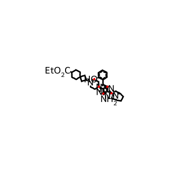 CCOC(=O)C1CCC2(CC1)CC(N1CCC(c3cnc(N4C5CCC4CN(c4cc(-c6ccccc6O)nnc4N)C5)nc3)CC1)C2